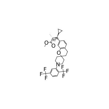 COC(=O)[C@H](C)[C@H](c1ccc2c(c1)OC1(CC2)CCN(c2cc(C(F)(F)F)ccc2C(F)(F)F)CC1)C1CC1